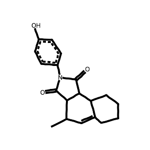 CC1C=C2CCCCC2C2C(=O)N(c3ccc(O)cc3)C(=O)C12